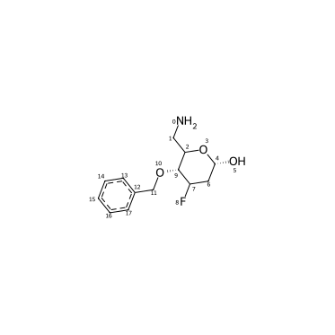 NCC1O[C@H](O)CC(F)[C@@H]1OCc1ccccc1